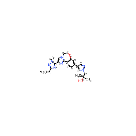 COCc1nc(-c2cn3c(n2)-c2ccc(-c4cnn(CC(C)(C)O)c4)cc2OCC3)n(C(C)C)n1